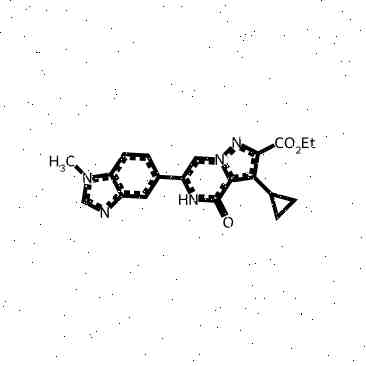 CCOC(=O)c1nn2cc(-c3ccc4c(c3)ncn4C)[nH]c(=O)c2c1C1CC1